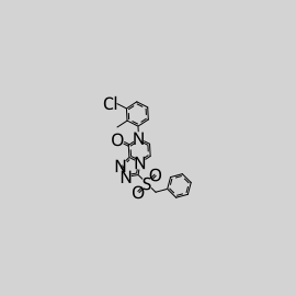 Cc1c(Cl)cccc1-n1ccn2c(S(=O)(=O)Cc3ccccc3)nnc2c1=O